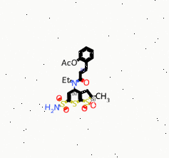 CCN(C(=O)/C=C/c1ccccc1OC(C)=O)[C@H]1C=C(S(N)(=O)=O)SC2=C1C[C@H](C)S2(=O)=O